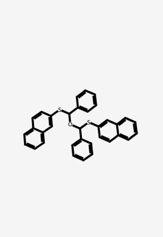 c1ccc(C(OC(Sc2ccc3ccccc3c2)c2ccccc2)Sc2ccc3ccccc3c2)cc1